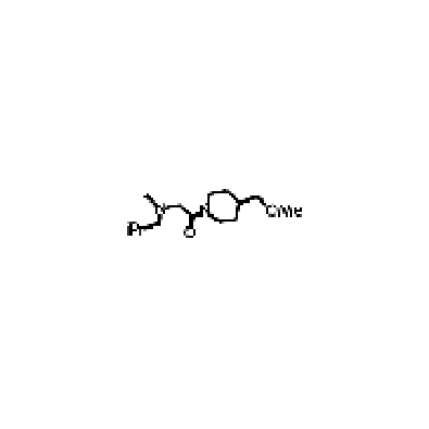 COCC1CCN(C(=O)CN(C)CC(C)C)CC1